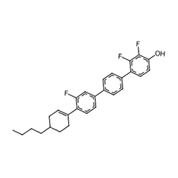 CCCCC1CC=C(c2ccc(-c3ccc(-c4ccc(O)c(F)c4F)cc3)cc2F)CC1